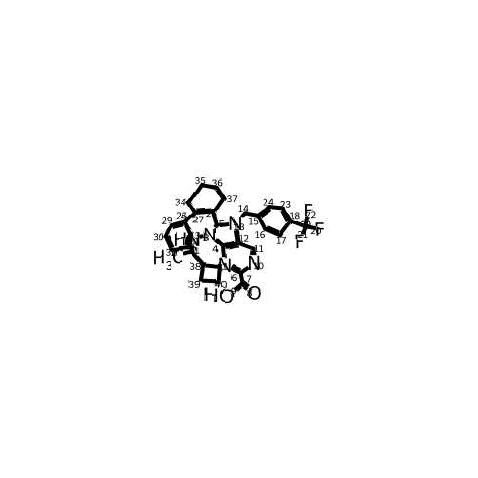 CC(NN1c2nc(C(=O)O)ncc2N(Cc2ccc(C(F)(F)F)cc2)C1C1=C(c2ccccc2)CCCC1)C1CCC1